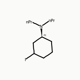 CCCN(CCC)[C@H]1CCCC(I)C1